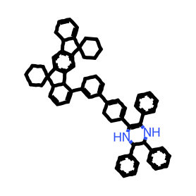 C1=CCC2C(=C1)C1(CCCCC1)c1cc3c(cc12)C1(CCCCC1)C1C=CC=C(C2=CC(C4=CC=C(C5=C(c6ccccc6)NC(c6ccccc6)C(c6ccccc6)N5)CC4)=CCC2)C31